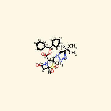 C[C@]1(Cn2cc([Si](C)(C)C)nn2)[C@H](C(=O)OC(c2ccccc2)c2ccccc2)N2C(=O)C[C@H]2S1(=O)=O